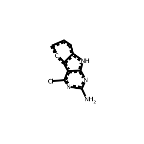 Nc1nc(Cl)c2c(n1)[nH]c1ccccc12